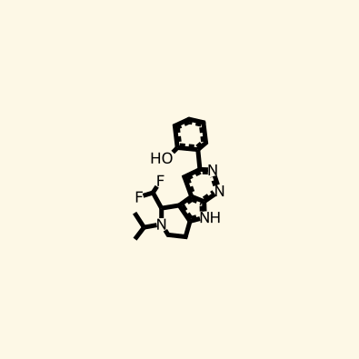 CC(C)N1CCc2[nH]c3nnc(-c4ccccc4O)cc3c2C1C(F)F